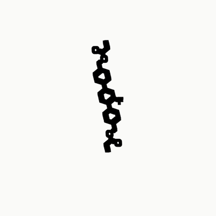 C=CC(=O)OCc1ccc(-c2ccc(-c3ccc(COC(=O)C=C)cc3)c(F)c2)cc1